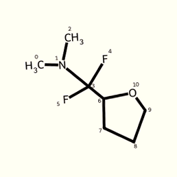 CN(C)C(F)(F)C1CCCO1